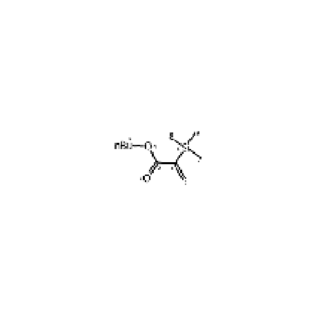 C=C(C(=O)OCCCC)[Si](C)(C)C